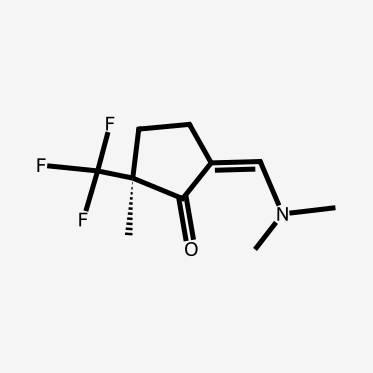 CN(C)/C=C1/CC[C@](C)(C(F)(F)F)C1=O